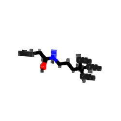 CCCCCCCCCCC(=O)NCCC[Si](OC)(OC)OC